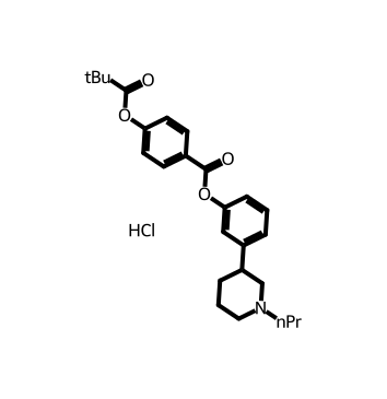 CCCN1CCCC(c2cccc(OC(=O)c3ccc(OC(=O)C(C)(C)C)cc3)c2)C1.Cl